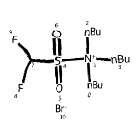 CCCC[N+](CCCC)(CCCC)S(=O)(=O)C(F)F.[Br-]